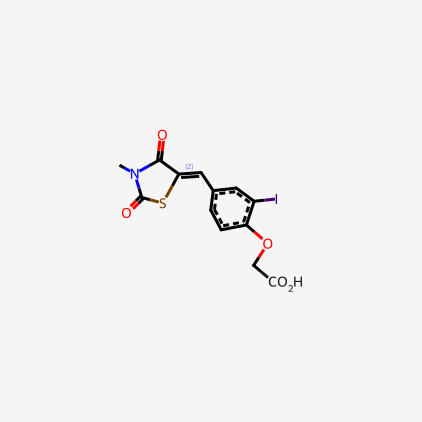 CN1C(=O)S/C(=C\c2ccc(OCC(=O)O)c(I)c2)C1=O